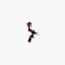 CC(=O)N(C(C)CCCCn1ncc2cc(-c3cc(-c4ccc(NC(=O)N5Cc6ccncc6C5)cc4)nn(CC(F)(F)F)c3=O)ccc21)N1C(=O)C=CC1=O